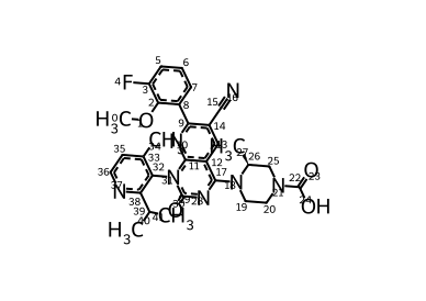 COc1c(F)cccc1-c1nc2c(cc1C#N)c(N1CCN(C(=O)O)C[C@@H]1C)nc(=O)n2-c1c(C)ccnc1C(C)C